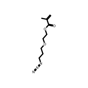 C=C(C)C(=O)OCCOCCCN=[N+]=[N-]